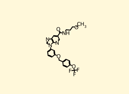 COCCCNC(=O)c1cnc2c(c1)ncn2-c1cccc(OCc2ccc(OC(F)(F)F)cc2)c1